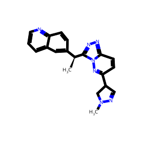 C[C@@H](c1ccc2ncccc2c1)c1nnc2ccc(C3C=NN(C)C3)nn12